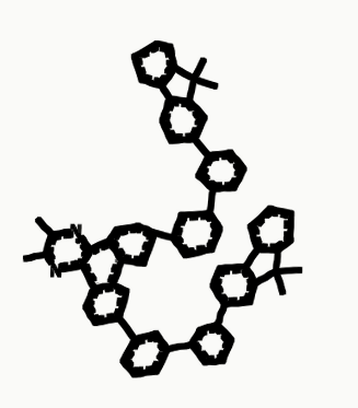 Cc1nc2c3ccc(-c4cccc(-c5cccc(-c6ccc7c(c6)C(C)(C)c6ccccc6-7)c5)c4)cc3c3cc(-c4cccc(-c5cccc(-c6ccc7c(c6)C(C)(C)c6ccccc6-7)c5)c4)ccc3c2nc1C